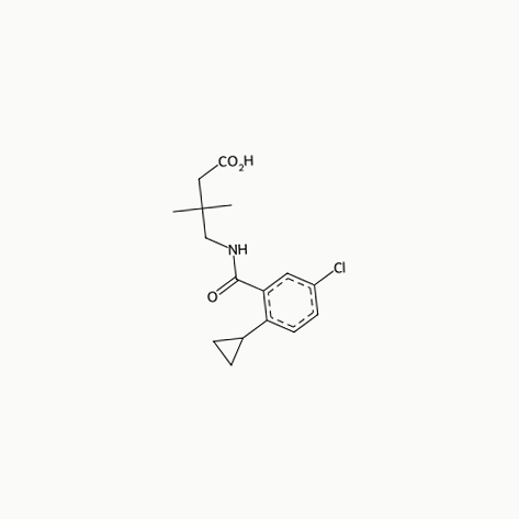 CC(C)(CNC(=O)c1cc(Cl)ccc1C1CC1)CC(=O)O